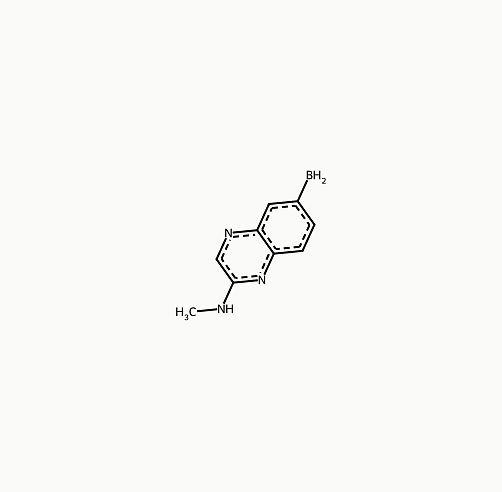 Bc1ccc2nc(NC)cnc2c1